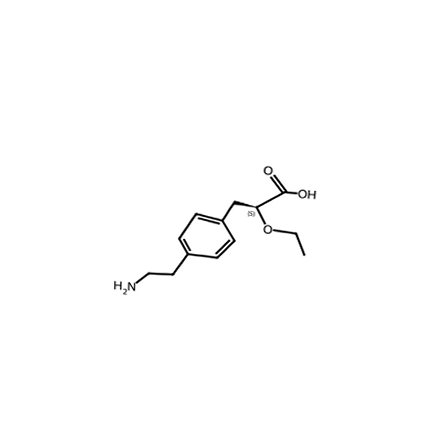 CCO[C@@H](Cc1ccc(CCN)cc1)C(=O)O